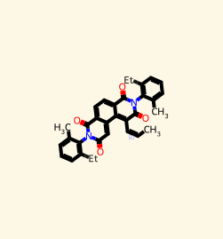 C/C=C\C1=c2c(ccc3c2=CC(=O)N(c2c(C)cccc2CC)C3=O)C(=O)N(c2c(C)cccc2CC)C1=O